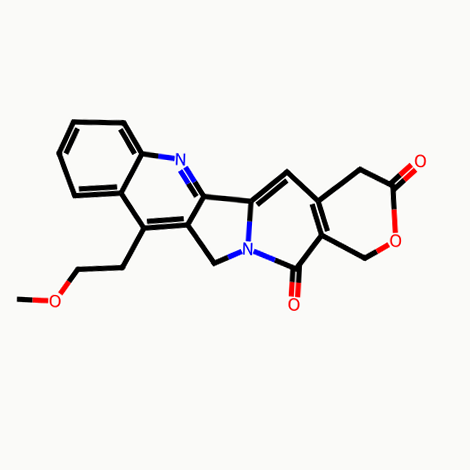 COCCc1c2c(nc3ccccc13)-c1cc3c(c(=O)n1C2)COC(=O)C3